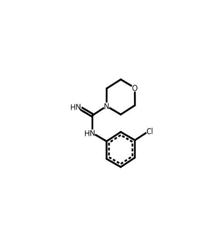 N=C(Nc1cccc(Cl)c1)N1CCOCC1